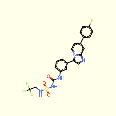 O=C(Nc1cccc(-c2cnc3cc(-c4ccc(F)cc4)ccn23)c1)NS(=O)(=O)NCC(F)(F)F